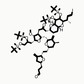 C=C1C[C@H](CCC=O)O[C@H]1CC[C@H]1C[C@H](C)C(=C)[C@@H](C[C@@H]2O[C@H](CC(CO[Si](C)(C)C(C)(C)C)O[Si](C)(C)C(C)(C)C)[C@H](OC)[C@H]2CC(=O)C[C@H]2CC[C@@H]3O[C@H]([C@@H](C)/C=C/I)C(O[Si](C)(C)C(C)(C)C)C(O[Si](C)(C)C(C)(C)C)[C@@H]3O2)O1